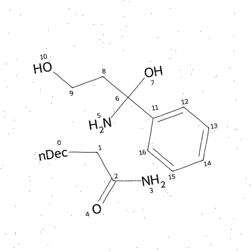 CCCCCCCCCCCC(N)=O.NC(O)(CCO)c1ccccc1